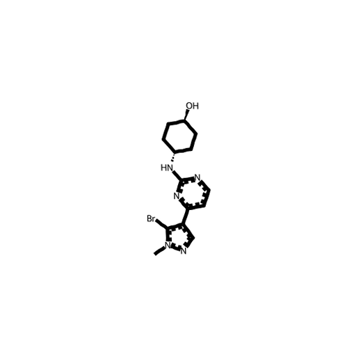 Cn1ncc(-c2ccnc(N[C@H]3CC[C@H](O)CC3)n2)c1Br